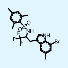 Cc1cc(C)c(S(=O)(=O)NC(Cc2c[nH]c3c(Br)cc(C)cc23)C(F)(F)F)c(C)c1